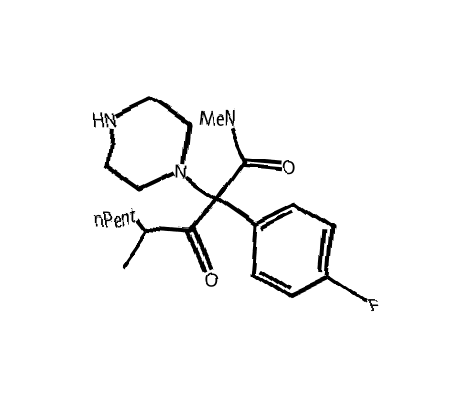 CCCCCC(C)C(=O)C(C(=O)NC)(c1ccc(F)cc1)N1CCNCC1